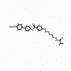 C=C(C)C(=O)OCCCCCCOc1ccc(C(=O)Oc2ccc(-c3ccc(CCCCCC)cn3)cc2)cc1